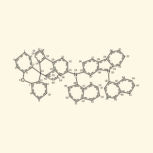 c1ccc2c(c1)Oc1ccccc1C21c2ccccc2-c2ccc(N(c3ccc4c5ccccc5n(-c5cccc6ccccc56)c4c3)c3cccc4ccccc34)c3cccc1c23